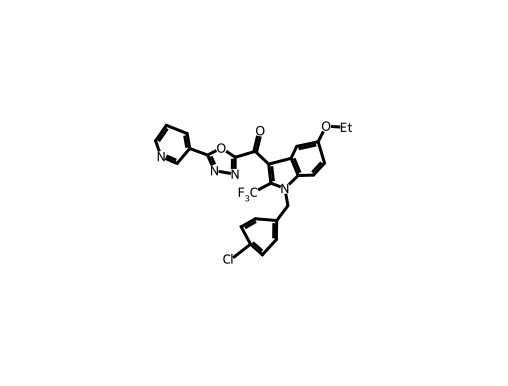 CCOc1ccc2c(c1)c(C(=O)c1nnc(-c3cccnc3)o1)c(C(F)(F)F)n2Cc1ccc(Cl)cc1